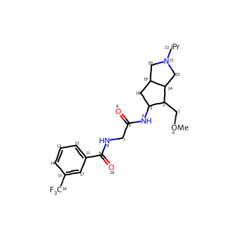 COCC1C(NC(=O)CNC(=O)c2cccc(C(F)(F)F)c2)CC2CN(C(C)C)CC21